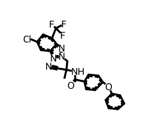 CC(C#N)(Cn1nc2cc(Cl)cc(C(F)(F)F)c2n1)NC(=O)c1ccc(Oc2ccccc2)cc1